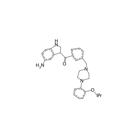 CC(C)Oc1ccccc1N1CCN(Cc2cccc(C(=O)C3CNc4ccc(N)cc43)c2)CC1